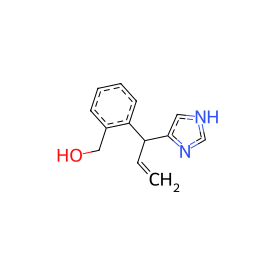 C=CC(c1c[nH]cn1)c1ccccc1CO